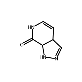 O=C1NC=CC2C=NNC12